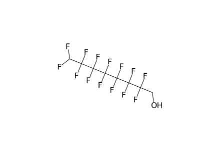 OCC(F)(F)C(F)(F)C(F)(F)C(F)(F)C(F)(F)C(F)(F)C(F)F